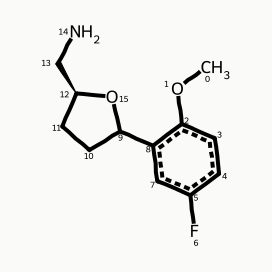 COc1ccc(F)cc1C1CC[C@@H](CN)O1